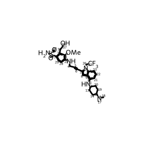 COc1c(NCC#Cc2cc3c(NC4CCC(N(C)C)CC4)cccc3n2CC(F)(F)F)ccc(S(N)(=O)=O)c1CCO